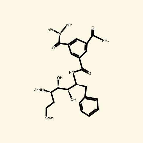 CCCN(CCC)C(=O)c1cc(C(N)=O)cc(C(=O)N[C@@H](Cc2ccccc2)[C@@H](O)[C@H](O)[C@@H](CCSC)NC(C)=O)c1